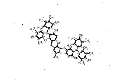 Cc1cc(Cc2ccc(O)c(C(c3cc(C)c(O)c(C)c3C)c3cc(C)c(O)c(C)c3C)c2)c(O)c(Cc2ccc(O)c(C(c3cc(C)c(O)c(C)c3C)c3cc(C)c(O)c(C)c3C)c2)c1